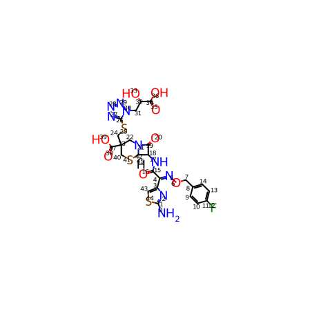 Nc1nc(C(=NOCc2ccc(F)cc2)C(=O)NC2C(=O)N3CC(CSc4nnnn4CC(O)C(=O)O)(C(=O)O)CS[C@H]23)cs1